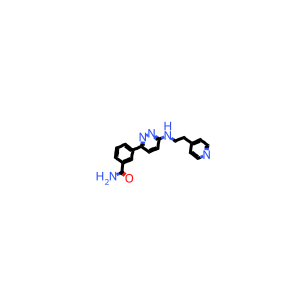 NC(=O)c1cccc(-c2ccc(NCCc3ccncc3)nn2)c1